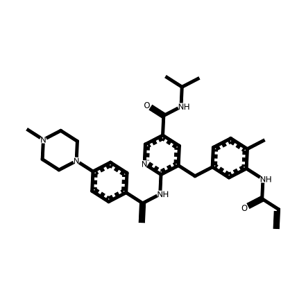 C=CC(=O)Nc1cc(Cc2cc(C(=O)NC(C)C)cnc2NC(=C)c2ccc(N3CCN(C)CC3)cc2)ccc1C